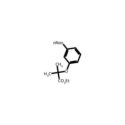 CCCCCCCCCc1cccc(OC(C)(C)C(=O)OCC)c1